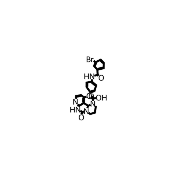 O=C(Nc1ccc(Oc2ccnc3c2C2N(C(=O)O)CCCN2C(=O)N3)cc1)c1cccc(Br)c1